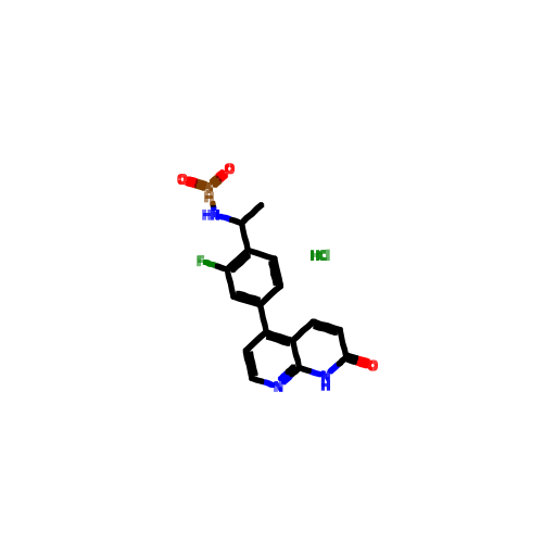 CC(N[SH](=O)=O)c1ccc(-c2ccnc3[nH]c(=O)ccc23)cc1F.Cl